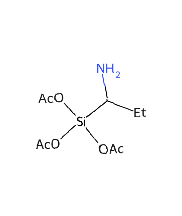 CCC(N)[Si](OC(C)=O)(OC(C)=O)OC(C)=O